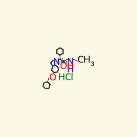 CCCNC[C@@H](O)[C@H](c1ccccc1)n1ccc2cc(OCc3ccccc3)ccc21.Cl